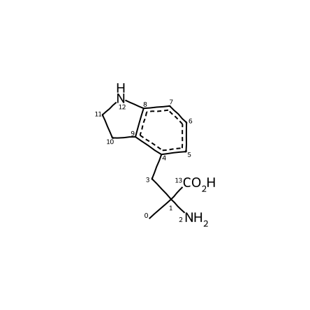 CC(N)(Cc1cccc2c1CCN2)C(=O)O